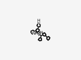 Nc1ccc(-c2ccccc2)cc1/C(=N\Cc1cc(C2=CCNC=C2)cc(C2=CC=CCN2)c1)c1ccccc1